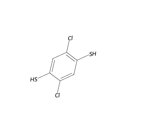 Sc1cc(Cl)c(S)cc1Cl